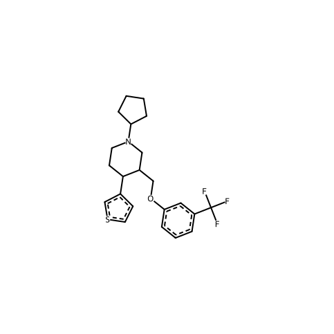 FC(F)(F)c1cccc(OCC2CN(C3CCCC3)CCC2c2ccsc2)c1